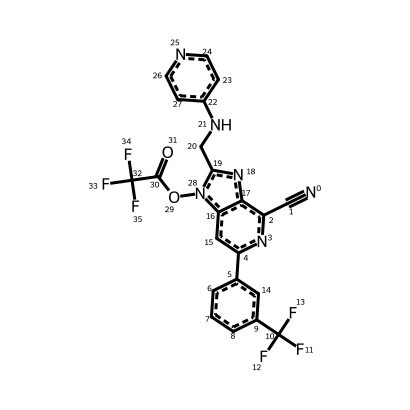 N#Cc1nc(-c2cccc(C(F)(F)F)c2)cc2c1nc(CNc1ccncc1)n2OC(=O)C(F)(F)F